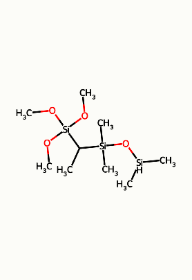 CO[Si](OC)(OC)C(C)[Si](C)(C)O[SiH](C)C